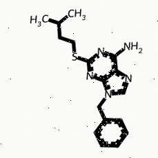 CC(C)CCSc1nc(N)c2ncn(Cc3ccccc3)c2n1